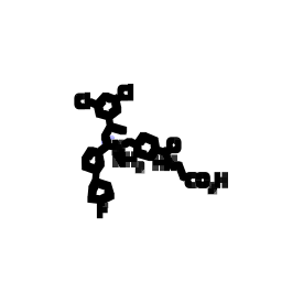 C=C(/C=C(/c1cccc(-c2ccc(F)cc2)c1)N(N)Cc1ccc(C(=O)NCCC(=O)O)cc1)c1cc(Cl)cc(Cl)c1